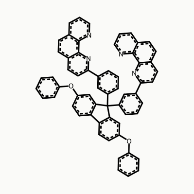 c1ccc(Oc2ccc3c(c2)C(c2cccc(-c4ccc5ccc6cccnc6c5n4)c2)(c2cccc(-c4ccc5ccc6cccnc6c5n4)c2)c2cc(Oc4ccccc4)ccc2-3)cc1